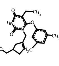 CCc1c(Oc2cc(C)cc(C)c2)n(CC2=CCC(CO)C2)c(=O)[nH]c1=O